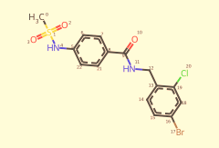 CS(=O)(=O)Nc1ccc(C(=O)NCc2ccc(Br)cc2Cl)cc1